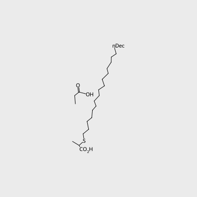 CCC(=O)O.CCCCCCCCCCCCCCCCCCCCCCCCCCSC(C)C(=O)O